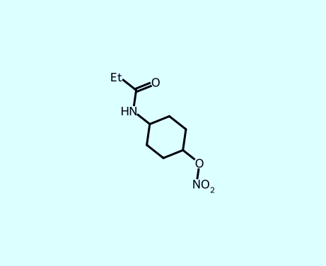 CCC(=O)NC1CCC(O[N+](=O)[O-])CC1